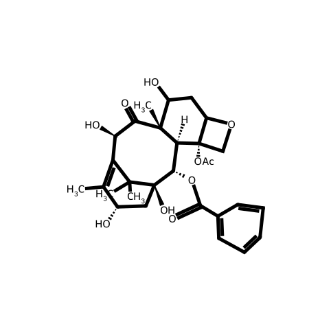 CC(=O)O[C@@]12COC1CC(O)[C@@]1(C)C(=O)[C@H](O)C3=C(C)[C@@H](O)C[C@@](O)([C@@H](OC(=O)c4ccccc4)[C@H]21)C3(C)C